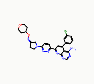 Nc1ncnc2nc(-c3ccc(N4CCC(=NOC5CCOCC5)C4)nn3)cc(-c3cccc(Br)c3)c12